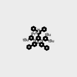 CC(C)c1cc(N2c3cc(-c4ccccc4)ccc3B3c4ccc(-c5ccccc5)cc4N(c4cc(C(C)(C)C)cc(C(C)(C)C)c4)c4cc(-c5cc(-c6ccccc6)nc(-c6ccccc6)n5)cc2c43)cc(C(C)(C)C)c1